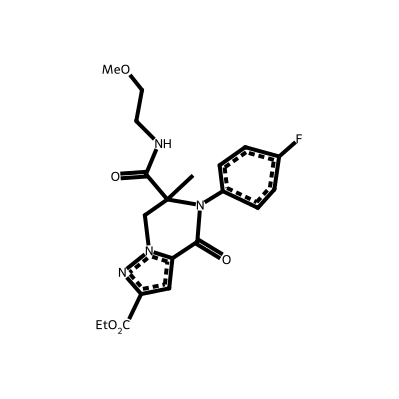 CCOC(=O)c1cc2n(n1)CC(C)(C(=O)NCCOC)N(c1ccc(F)cc1)C2=O